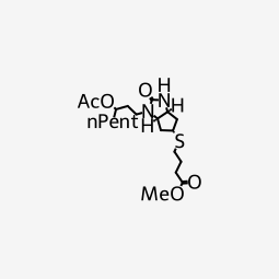 CCCCCC(CCN1C(=O)N[C@@H]2C[C@H](SCCCC(=O)OC)C[C@@H]21)OC(C)=O